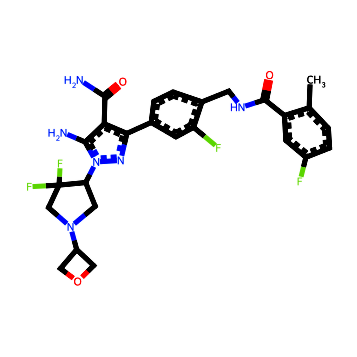 Cc1ccc(F)cc1C(=O)NCc1ccc(-c2nn(C3CN(C4COC4)CC3(F)F)c(N)c2C(N)=O)cc1F